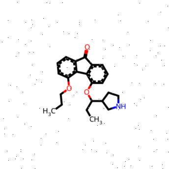 CCCOc1cccc2c1-c1c(OC(CC)C3CCNC3)cccc1C2=O